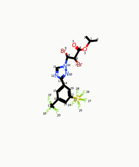 CC(C)OC(=O)C(Br)C(Br)n1cnc(-c2cc(C(F)(F)F)cc(S(F)(F)(F)(F)F)c2)n1